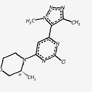 Cc1nnn(C)c1-c1cc(N2CCOC[C@H]2C)nc(Cl)n1